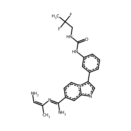 CC(=C/N)/N=C(\N)c1ccn2c(-c3cccc(NC(=O)NCC(C)(F)F)c3)cnc2c1